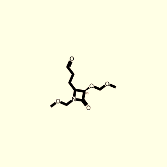 COCO[C@H]1C(=O)N(COC)C1CCC=O